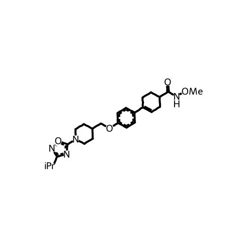 CONC(=O)C1CC=C(c2ccc(OCC3CCN(c4nc(C(C)C)no4)CC3)cc2)CC1